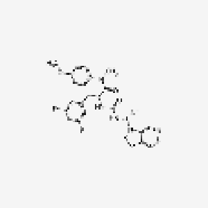 COc1ccc(N(C)C(=O)C(Cc2cc(F)cc(F)c2)NC(=O)N[S+]([O-])N2CCc3ccncc32)cc1